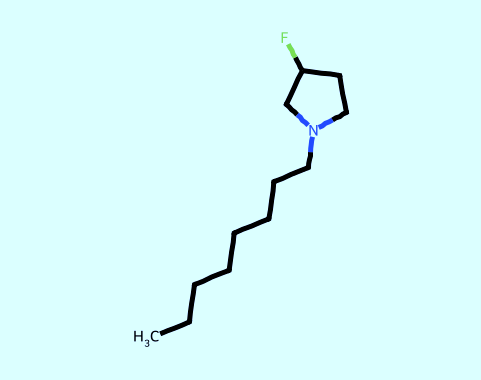 CCCCCCCCN1CCC(F)C1